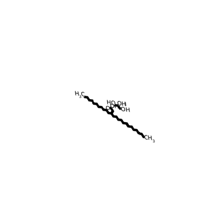 CCCCCCCCCCCCCCC(CCCCCCCCCCCC)CC(=O)O.OCC(O)CO